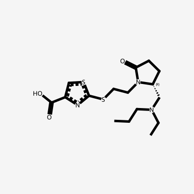 CCCN(CC)C[C@H]1CCC(=O)N1CCSc1nc(C(=O)O)cs1